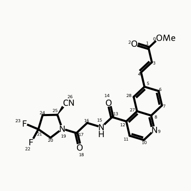 COC(=O)/C=C/c1ccc2nccc(C(=O)NCC(=O)N3CC(F)(F)C[C@H]3C#N)c2c1